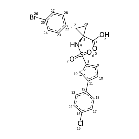 O=C(O)[C@@]1(NS(=O)(=O)c2ccc(-c3ccc(Cl)cc3)s2)C[C@H]1c1ccc(Br)cc1